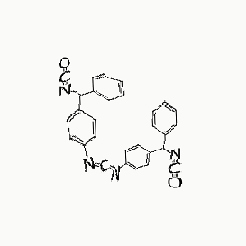 O=C=NC(c1ccccc1)c1ccc(N=C=Nc2ccc(C(N=C=O)c3ccccc3)cc2)cc1